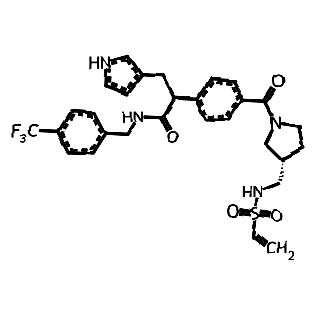 C=CS(=O)(=O)NC[C@H]1CCN(C(=O)c2ccc(C(Cc3cc[nH]c3)C(=O)NCc3ccc(C(F)(F)F)cc3)cc2)C1